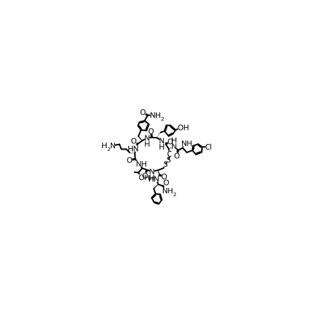 CC(O)C1NC(=O)[C@H](CCCCN)NC(=O)[C@@H](Cc2ccc(C(N)=O)cc2)NC(=O)[C@H](Cc2ccc(O)cc2)NC(=O)[C@H](NC(=O)[C@@H](N)Cc2ccc(Cl)cc2)CSSC[C@@H](C(=O)N[C@H](Cc2ccccc2)C(N)=O)NC1=O